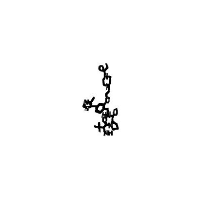 CCC(=O)N1CCN(CCOc2cc(-c3scnc3C)ccc2CNC(=O)C2CCCN2C(=O)[C@@H](NC)C(C)(C)C)CC1